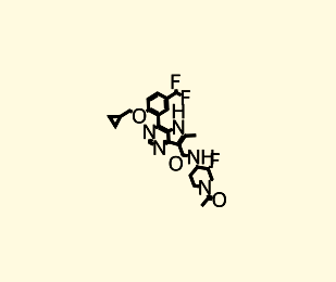 CC(=O)N1CC[C@H](NC(=O)c2c(C)[nH]c3c(-c4cc(C(F)F)ccc4OCC4CC4)ncnc23)[C@@H](F)C1